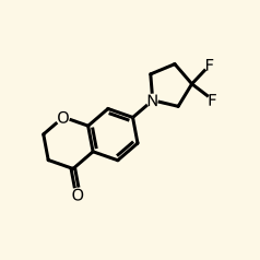 O=C1CCOc2cc(N3CCC(F)(F)C3)ccc21